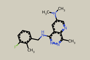 Cc1c(F)cccc1CNc1nnc(C)c2ncc(N(C)C)cc12